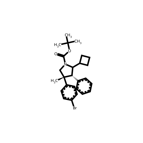 CC(C)(C)OC(=O)N1C[C@@](C)(c2ccc(Br)cc2)[C@@H](c2ccccc2)C1C1CCC1